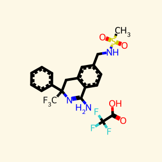 CS(=O)(=O)NCc1ccc2c(c1)CC(c1ccccc1)(C(F)(F)F)N=C2N.O=C(O)C(F)(F)F